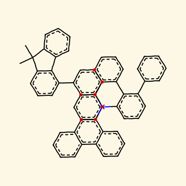 CC1(C)c2ccccc2-c2c(-c3cccc(N(c4cccc(-c5ccccc5)c4-c4ccccc4-c4ccccc4)c4cc5ccccc5c5ccccc45)c3)cccc21